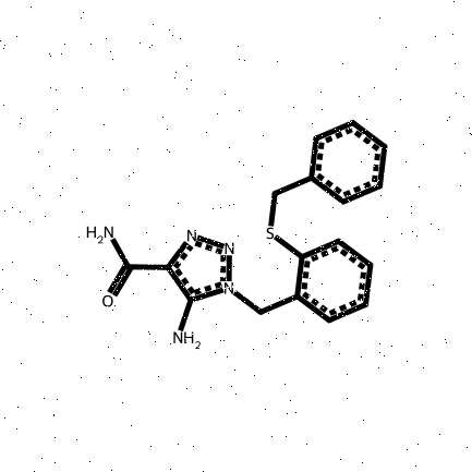 NC(=O)c1nnn(Cc2ccccc2SCc2ccccc2)c1N